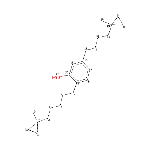 CC1(CCCCCc2ccc(CCCCC3(C)CC3)cc2O)CC1